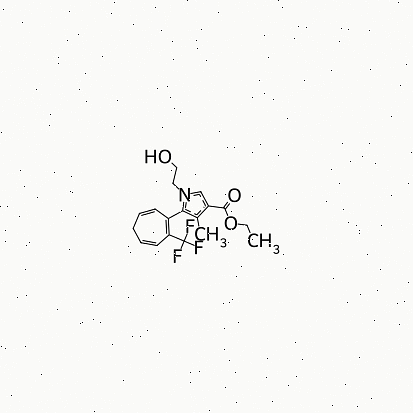 CCOC(=O)c1cn(CCO)c(C2=C(C(F)(F)F)C=CCC=C2)c1C